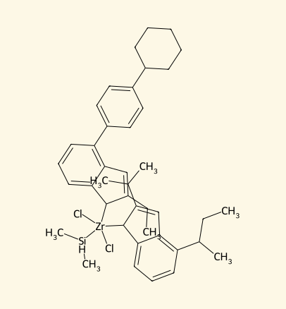 CCC1=Cc2c(-c3ccc(C4CCCCC4)cc3)cccc2[CH]1[Zr]([Cl])([Cl])([CH]1C(C(C)C)=Cc2c(C(C)CC)cccc21)[SiH](C)C